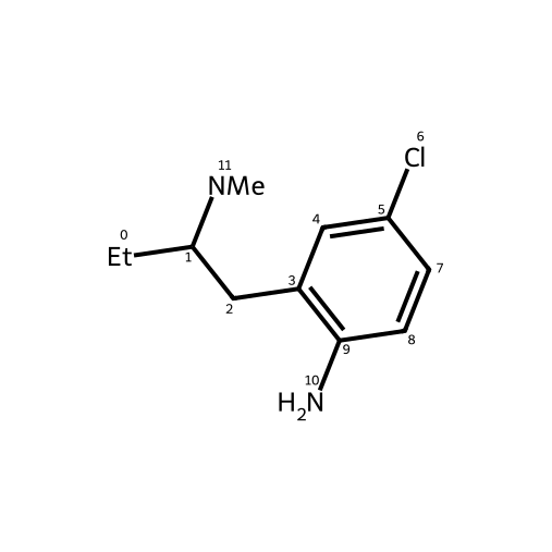 CCC(Cc1cc(Cl)ccc1N)NC